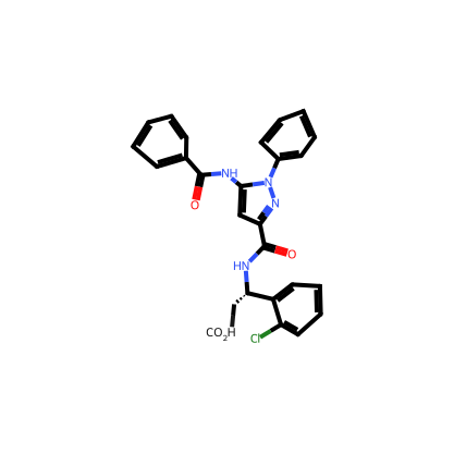 O=C(O)C[C@H](NC(=O)c1cc(NC(=O)c2ccccc2)n(-c2ccccc2)n1)c1ccccc1Cl